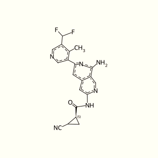 Cc1c(-c2cc3cc(NC(=O)[C@H]4CC4C#N)ncc3c(N)n2)cncc1C(F)F